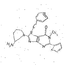 Cn1c(-c2cccs2)nc2nc(N3CCCC(N)C3)n(Cc3ccccc3)c2c1=O